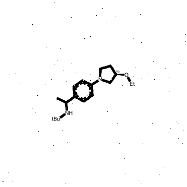 CCO[C@@H]1CCN(c2ccc(C(C)NC(C)(C)C)cc2)C1